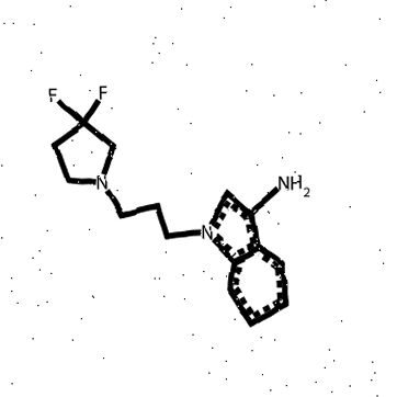 Nc1cn(CCCN2CCC(F)(F)C2)c2ccccc12